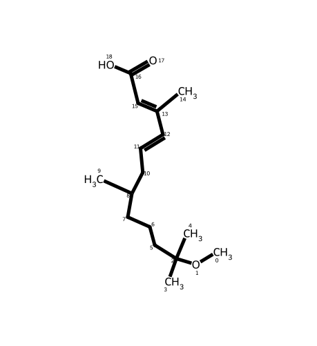 COC(C)(C)CCCC(C)CC=CC(C)=CC(=O)O